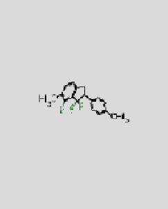 Cc1ccc(C2Cc3ccc(C)c(F)c3C2(F)F)cc1